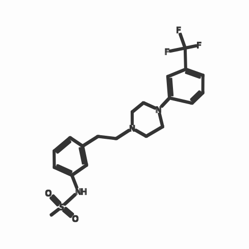 CS(=O)(=O)Nc1cccc(CCN2CCN(c3cccc(C(F)(F)F)c3)CC2)c1